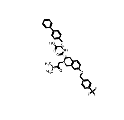 CN(C)C(=O)CN1Cc2cc(OCc3ccc(C(F)(F)F)cc3)ccc2C[C@H]1C(=O)N[C@@H](Cc1ccc(-c2ccccc2)cc1)C(=O)O